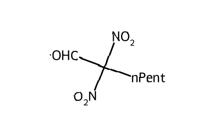 CCCCCC([C]=O)([N+](=O)[O-])[N+](=O)[O-]